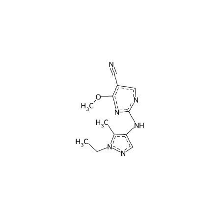 CCn1ncc(Nc2ncc(C#N)c(OC)n2)c1C